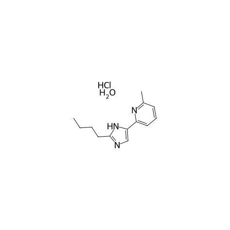 CCCCc1ncc(-c2cccc(C)n2)[nH]1.Cl.O